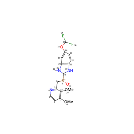 COc1ccnc(C[S@@+]([O-])C2Nc3ccc(OC(F)F)cc3N2C)c1OC